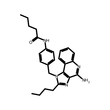 CCCCC(=O)Nc1ccc(Cn2c(CCCC)nc3c(N)nc4ccccc4c32)cc1